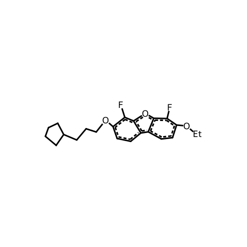 CCOc1ccc2c(oc3c(F)c(OCCCC4CCCC4)ccc32)c1F